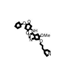 COc1cc2c(NC3=CC(=O)C(Oc4ccccc4)=CC3=O)ncnc2cc1OCCCc1ccncc1